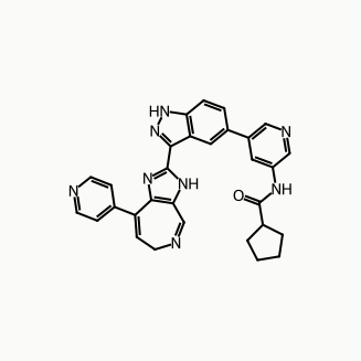 O=C(Nc1cncc(-c2ccc3[nH]nc(-c4nc5c([nH]4)C=NCC=C5c4ccncc4)c3c2)c1)C1CCCC1